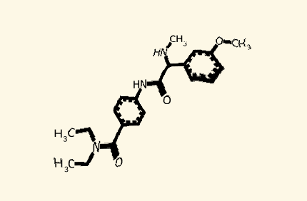 CCN(CC)C(=O)c1ccc(NC(=O)C(NC)c2cccc(OC)c2)cc1